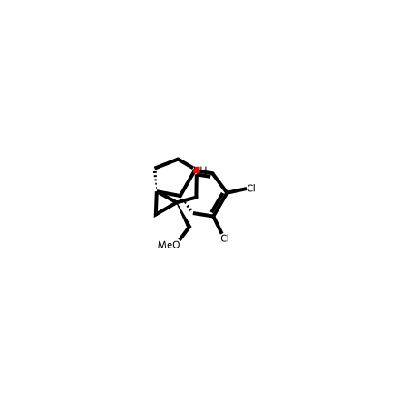 COC[C@]12CNCC[C@@]1([C@@H]1C=CC(Cl)=C(Cl)C1)C2